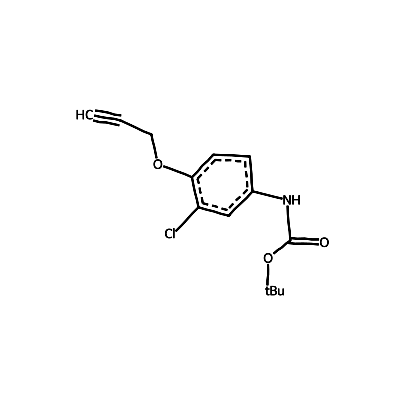 C#CCOc1ccc(NC(=O)OC(C)(C)C)cc1Cl